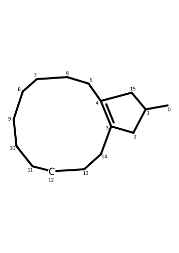 CC1CC2=C(CCCCCCCCCC2)C1